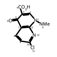 CNn1cc(C(=O)O)c(=O)c2ccc(Cl)nc21